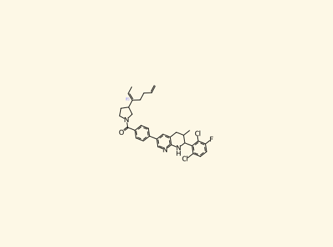 C=CCC/C(=C\C)C1CCN(C(=O)c2ccc(-c3cnc4c(c3)CC(C)C(c3c(Cl)ccc(F)c3Cl)N4)cc2)C1